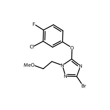 COCCn1nc(Br)nc1Oc1ccc(F)c(Cl)c1